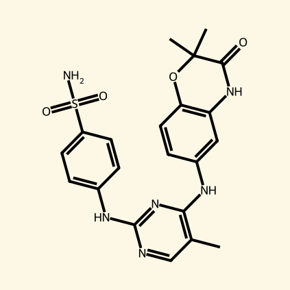 Cc1cnc(Nc2ccc(S(N)(=O)=O)cc2)nc1Nc1ccc2c(c1)NC(=O)C(C)(C)O2